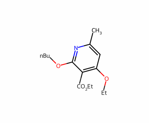 CCCCOc1nc(C)cc(OCC)c1C(=O)OCC